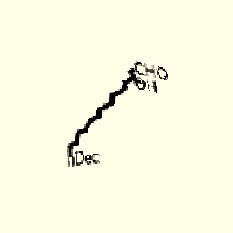 CCCCCCCCCCCCCCCCCCCCCC(O)CC=O